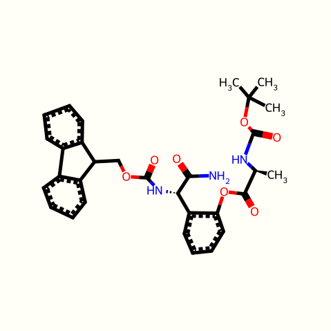 C[C@H](NC(=O)OC(C)(C)C)C(=O)Oc1ccccc1[C@H](NC(=O)OCC1c2ccccc2-c2ccccc21)C(N)=O